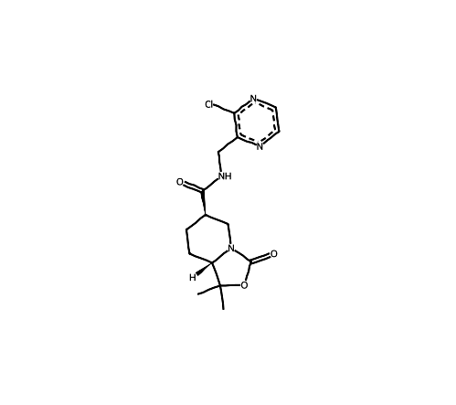 CC1(C)OC(=O)N2C[C@H](C(=O)NCc3nccnc3Cl)CC[C@H]21